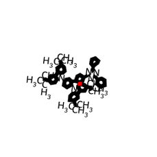 CC(C)(C)c1ccc2c(c1)c1cc(C(C)(C)C)ccc1n2-c1ccc(-n2c3ccc(C(C)(C)C)cc3c3cc(C(C)(C)C)ccc32)c(-c2ccc(-c3nc(-c4ccccc4)nc(-c4ccccc4)n3)cc2)c1